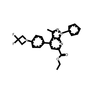 CCOC(=O)c1cc(-c2ccc(N3CC(F)(F)C3)cc2)c2c(C)nn(-c3ccccc3)c2n1